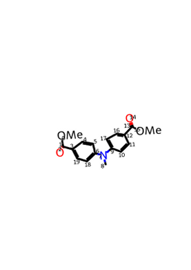 COC(=O)c1ccc(N(C)c2ccc(C(=O)OC)cc2)cc1